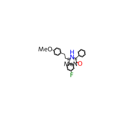 CNC(=O)[C@@H](N[C@H](CCc1ccc(OC)cc1)c1ccc(F)cc1)c1ccccc1